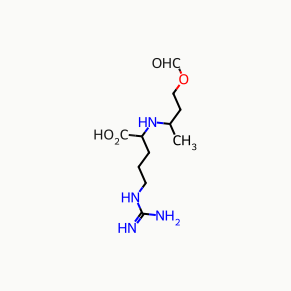 CC(CCOC=O)NC(CCCNC(=N)N)C(=O)O